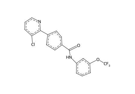 O=C(Nc1cccc(OC(F)(F)F)c1)c1ccc(-c2ncccc2Cl)cc1